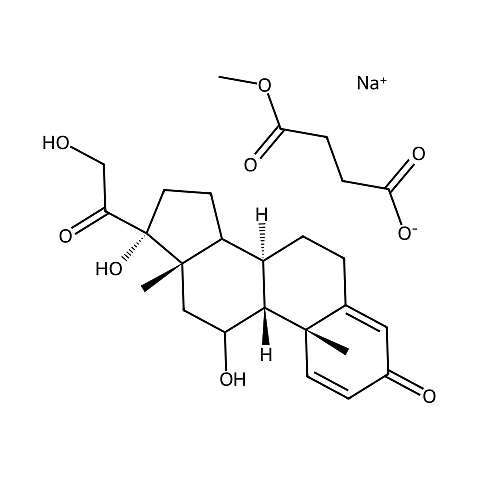 COC(=O)CCC(=O)[O-].C[C@]12C=CC(=O)C=C1CC[C@@H]1C3CC[C@](O)(C(=O)CO)[C@@]3(C)CC(O)[C@H]12.[Na+]